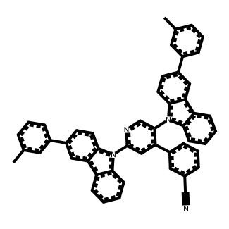 Cc1cccc(-c2ccc3c(c2)c2ccccc2n3-c2cc(-c3cccc(C#N)c3)c(-n3c4ccccc4c4cc(-c5cccc(C)c5)ccc43)cn2)c1